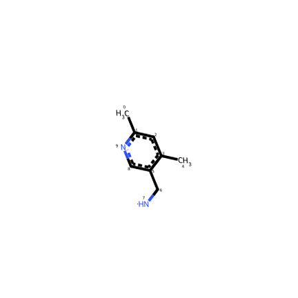 Cc1cc(C)c(C[NH])cn1